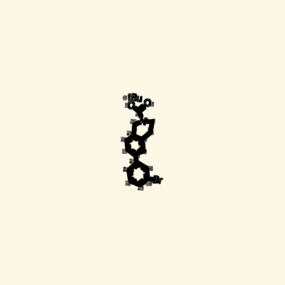 CC(C)(C)OC(=O)N1CCc2cc(-c3cccc(Br)c3)ccc2C1